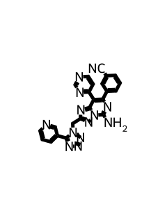 N#Cc1cccc(-c2nc(N)n3nc(Cn4nnnc4-c4cccnc4)nc3c2-c2ccncn2)c1